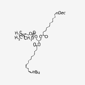 CCCC/C=C\C/C=C\CCCCCCCC(=O)O[C@H](COC(=O)CCCCCCCCCCCCCCCCCCC)COP(=O)([O-])OCC[N+](C)(C)C